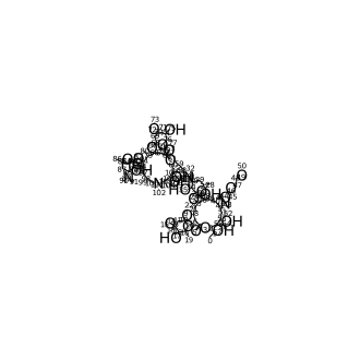 CC[C@H]1OC(=O)[C@H](C)[C@@H](O[C@H]2C[C@@](C)(OC)[C@@H](O)[C@H](C)O2)[C@H](C)[C@@H](O[C@@H]2O[C@H](C)C[C@H](N(C)C)[C@H]2O)[C@](C)(O)C[C@@H](C)/C(=N\OCOCCOC)[C@H](C)[C@@H](O)[C@]1(C)O.CC[C@H]1OC(=O)[C@H](C)[C@@H](O[C@H]2C[C@@](C)(OC)[C@@H](O)[C@H](C)O2)[C@H](C)[C@@H](O[C@@H]2O[C@H](C)C[C@H](N(C)C)[C@H]2O)[C@](C)(O)C[C@@H](C)CN(C)[C@H](C)[C@@H](O)[C@]1(C)O